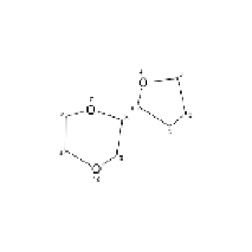 [CH]1CCCO1.[CH]1COCCO1